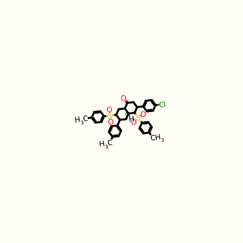 Cc1ccc(C2C[C@H]3C(CC2S(=O)(=O)c2ccc(C)cc2)C(=O)CC(c2ccc(Cl)cc2)C3S(=O)(=O)c2ccc(C)cc2)cc1